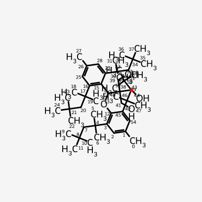 Cc1cc(C(C)(C)CC(C)(C)C)c(OC(c2c(C(C)(C)CC(C)(C)C)cc(C)cc2C(C)(C)CC(C)(C)C)C(CO)(CO)CO)c(C(C)(C)CC(C)(C)C)c1